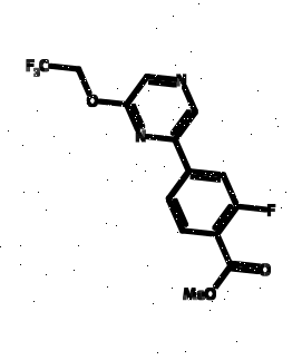 COC(=O)c1ccc(-c2cncc(OCC(F)(F)F)n2)cc1F